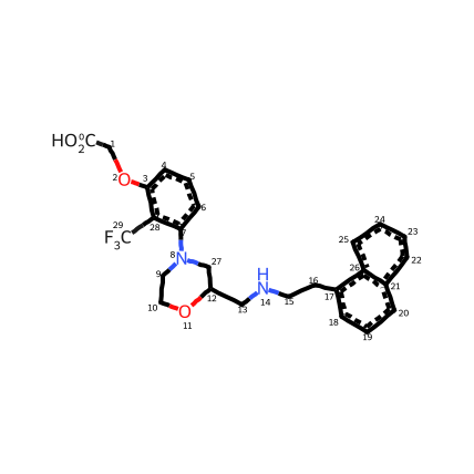 O=C(O)COc1cccc(N2CCOC(CNCCc3cccc4ccccc34)C2)c1C(F)(F)F